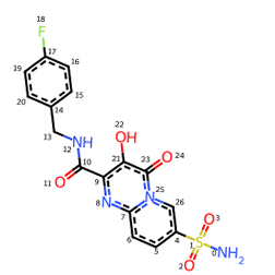 NS(=O)(=O)c1ccc2nc(C(=O)NCc3ccc(F)cc3)c(O)c(=O)n2c1